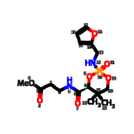 COC(=O)CCNC(=O)[C@@H]1OP(=O)(NCc2ccco2)OCC1(C)C